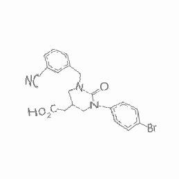 N#Cc1cccc(CN2CC(CC(=O)O)CN(c3ccc(Br)cc3)C2=O)c1